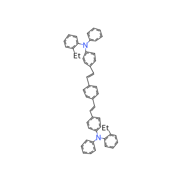 CCc1ccccc1N(c1ccccc1)c1ccc(C=Cc2ccc(C=Cc3ccc(N(c4ccccc4)c4ccccc4CC)cc3)cc2)cc1